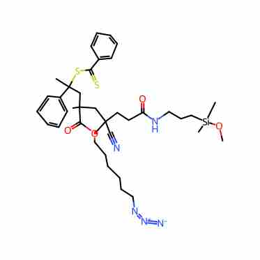 CO[Si](C)(C)CCCNC(=O)CCC(C)(C#N)CC(C)(CC(C)(SC(=S)c1ccccc1)c1ccccc1)C(=O)OCCCCCCN=[N+]=[N-]